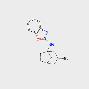 CCC1CC2CCC(Nc3nc4ccccc4o3)(C1)C2